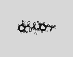 O=C(NC(=O)c1c(F)cccc1F)Nc1ccc(SC(F)F)cc1F